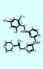 O=C(Cn1cc(Nc2nccc(NCc3c(F)cc(F)cc3F)n2)cn1)N1CCOCC1